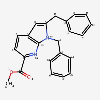 COC(=O)c1ccc2cc(Cc3ccccc3)n(Cc3ccccc3)c2n1